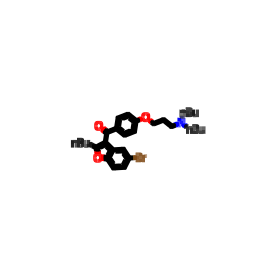 CCCCc1oc2ccc(Br)cc2c1C(=O)c1ccc(OCCCN(CCCC)CCCC)cc1